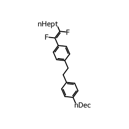 CCCCCCCCCCc1ccc(CCc2ccc(C(F)=C(F)CCCCCCC)cc2)cc1